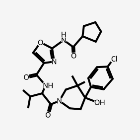 CC(C)C(NC(=O)c1coc(NC(=O)C2CCCC2)n1)C(=O)N1CCC(O)(c2ccc(Cl)cc2)C(C)(C)C1